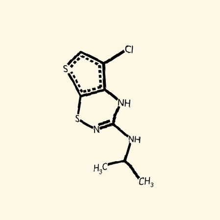 CC(C)NC1=NSc2scc(Cl)c2N1